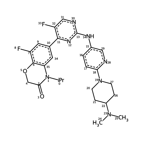 CC(C)N1C(=O)COc2c(F)cc(-c3nc(Nc4ccc(N5CCC(N(C)C)CC5)nc4)ncc3F)cc21